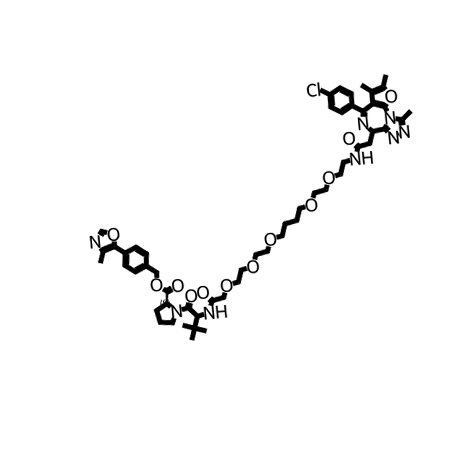 Cc1ncoc1-c1ccc(COC(=O)[C@@H]2CCCN2C(=O)C(NC(=O)COCCOCCOCCCCOCCOCCNC(=O)CC2N=C(c3ccc(Cl)cc3)c3c(oc(C)c3C)-n3c(C)nnc32)C(C)(C)C)cc1